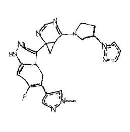 Cn1cc(C2=C(F)C=C3NN=C(C45CC4C(N4CCC(n6cccn6)C4)=NC=N5)C3C2)cn1